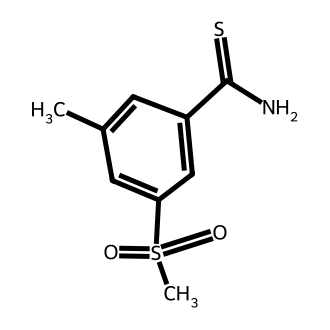 Cc1cc(C(N)=S)cc(S(C)(=O)=O)c1